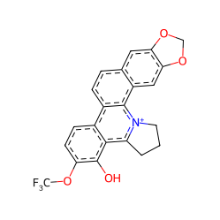 Oc1c(OC(F)(F)F)ccc2c1c1[n+](c3c4cc5c(cc4ccc23)OCO5)CCC1